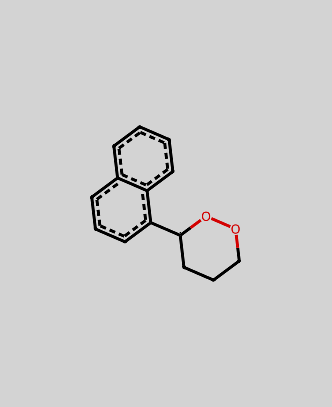 c1ccc2c([C]3CCCOO3)cccc2c1